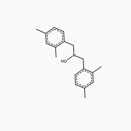 Cc1ccc(CN(O)Cc2ccc(C)cc2C)c(C)c1